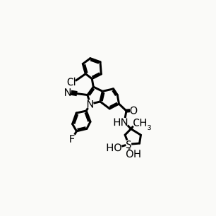 CC1(NC(=O)c2ccc3c(-c4ccccc4Cl)c(C#N)n(-c4ccc(F)cc4)c3c2)CCS(O)(O)C1